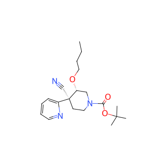 CCCCO[C@@H]1CN(C(=O)OC(C)(C)C)CC[C@@]1(C#N)c1ccccn1